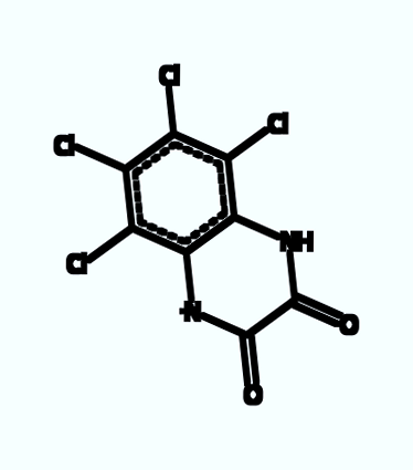 O=C1[N]c2c(Cl)c(Cl)c(Cl)c(Cl)c2NC1=O